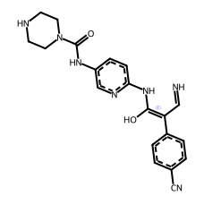 N#Cc1ccc(/C(C=N)=C(\O)Nc2ccc(NC(=O)N3CCNCC3)cn2)cc1